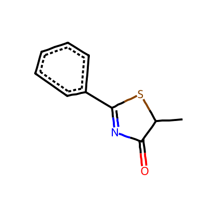 CC1SC(c2ccccc2)=NC1=O